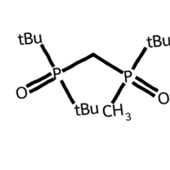 CC(C)(C)P(C)(=O)CP(=O)(C(C)(C)C)C(C)(C)C